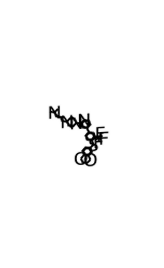 CN(C)CCCN1CCN(c2cc(-c3ccc(Sc4ccc5c(c4)OCCO5)c(C(F)(F)F)c3)ccn2)CC1